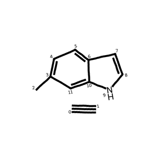 C#C.Cc1ccc2cc[nH]c2c1